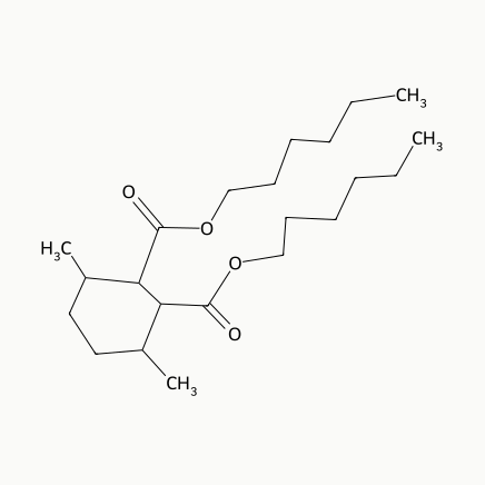 CCCCCCOC(=O)C1C(C)CCC(C)C1C(=O)OCCCCCC